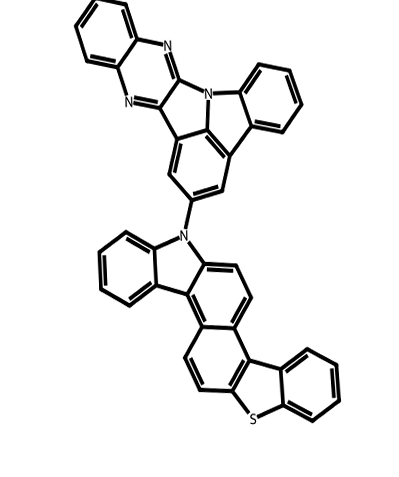 c1ccc2nc3c(nc2c1)c1cc(-n2c4ccccc4c4c5ccc6sc7ccccc7c6c5ccc42)cc2c4ccccc4n3c21